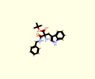 CC(C)(C)OC(=O)C(N)(Cc1c[nH]c2ccccc12)C(=O)NCc1ccccc1